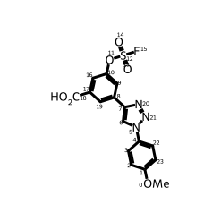 COc1ccc(-n2cc(-c3cc(OS(=O)(=O)F)cc(C(=O)O)c3)nn2)cc1